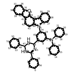 c1ccc(C2=NC(c3cc(N(c4ccccc4)c4ccccc4)cc(-n4c5ccccc5c5c6oc7ccccc7c6ccc54)c3)NC(c3ccccc3)N2)cc1